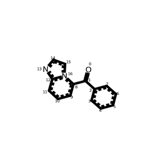 O=C(c1ccccc1)c1c[c]cc2nccn12